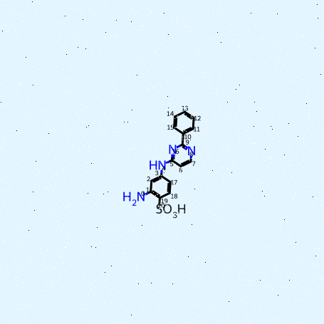 Nc1cc(Nc2ccnc(-c3ccccc3)n2)ccc1S(=O)(=O)O